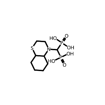 O=P(O)(O)C(N1CCSC2CCCCC21)P(=O)(O)O